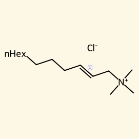 CCCCCCCCC/C=C/C[N+](C)(C)C.[Cl-]